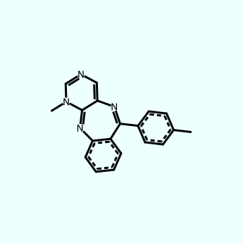 Cc1ccc(C2=NC3=CN=CN(C)C3=Nc3ccccc32)cc1